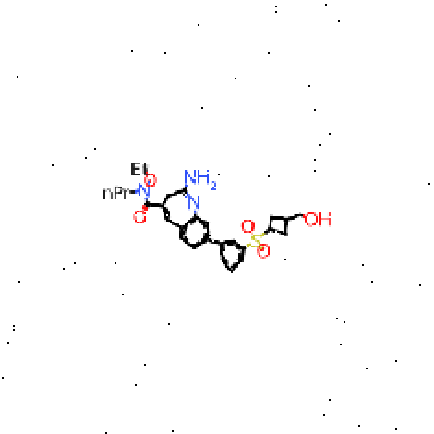 CCCN(OCC)C(=O)C1=Cc2ccc(-c3cccc(S(=O)(=O)C4CC(CO)C4)c3)cc2N=C(N)C1